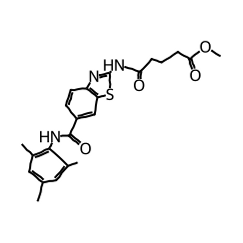 COC(=O)CCCC(=O)Nc1nc2ccc(C(=O)Nc3c(C)cc(C)cc3C)cc2s1